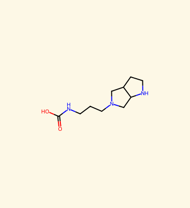 O=C(O)NCCCN1CC2CCNC2C1